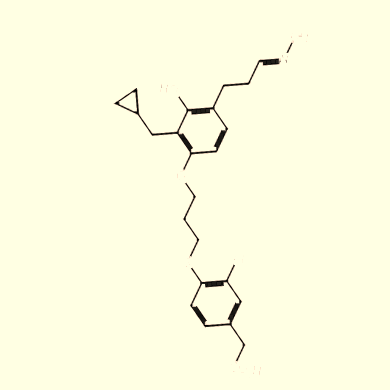 O=C(O)Cc1ccc(SCCCOc2ccc(CCC=NO)c(O)c2CC2CC2)c(Cl)c1